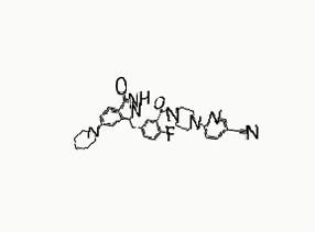 N#Cc1ccc(N2CCN(C(=O)c3cc(Cc4n[nH]c(=O)c5ccc(N6CCCCC6)cc45)ccc3F)CC2)nc1